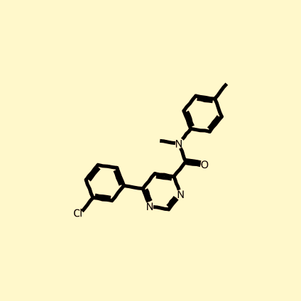 Cc1ccc(N(C)C(=O)c2cc(-c3cccc(Cl)c3)ncn2)cc1